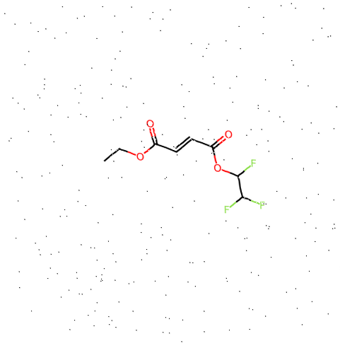 CCOC(=O)C=CC(=O)OC(F)C(F)F